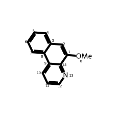 COc1cc2ccccc2c2cccnc12